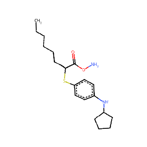 CCCCCCC(Sc1ccc(NC2CCCC2)cc1)C(=O)ON